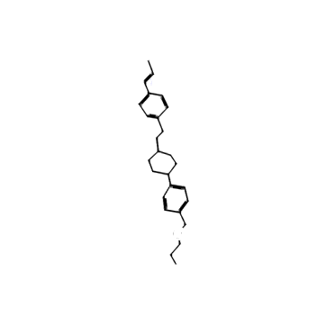 C/C=C/c1ccc(CCC2CCC(c3ccc(COCCC)cc3)CC2)cc1